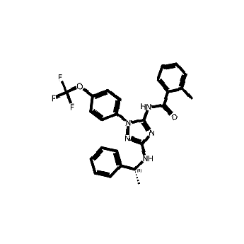 Cc1ccccc1C(=O)Nc1nc(N[C@H](C)c2ccccc2)nn1-c1ccc(OC(F)(F)F)cc1